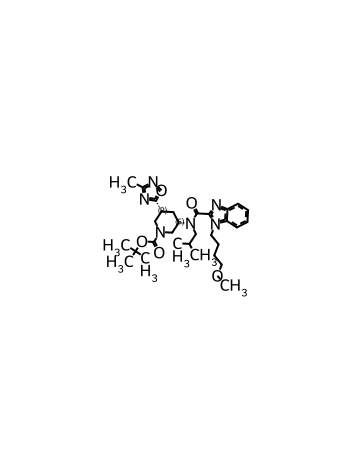 COCCCCn1c(C(=O)N(CC(C)C)[C@H]2C[C@@H](c3nc(C)no3)CN(C(=O)OC(C)(C)C)C2)nc2ccccc21